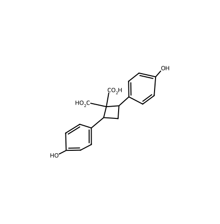 O=C(O)C1(C(=O)O)C(c2ccc(O)cc2)CC1c1ccc(O)cc1